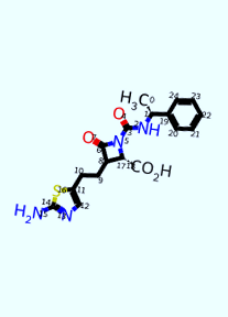 C[C@@H](NC(=O)N1C(=O)C(CCc2cnc(N)s2)[C@H]1C(=O)O)c1ccccc1